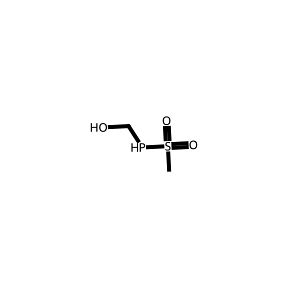 CS(=O)(=O)PCO